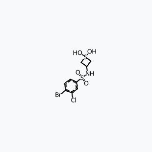 O=S(=O)(NC1CS(O)(O)C1)c1ccc(Br)c(Cl)c1